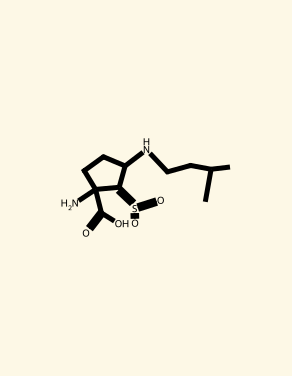 CC(C)CCNC1CCC(N)(C(=O)O)C1=S(=O)=O